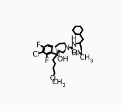 CNCC(CC1CCCCC1)NC(=O)N1CCC[C@@H]([C@@](O)(CCCCOC)c2ccc(F)c(Cl)c2F)C1